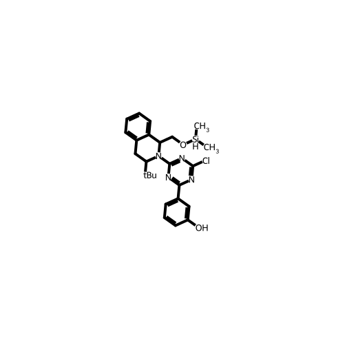 C[SiH](C)OCC1c2ccccc2CC(C(C)(C)C)N1c1nc(Cl)nc(-c2cccc(O)c2)n1